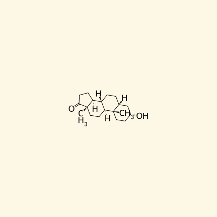 C[C@]12CC[C@@H](O)C[C@H]1CC[C@@H]1[C@@H]2CC[C@]2(C)C(=O)CC[C@@H]12